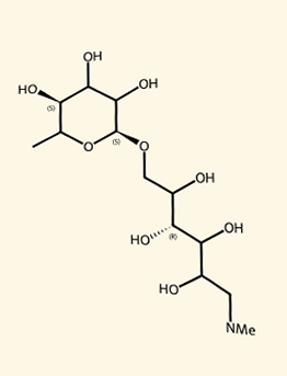 CNCC(O)C(O)[C@H](O)C(O)CO[C@H]1OC(C)[C@@H](O)C(O)C1O